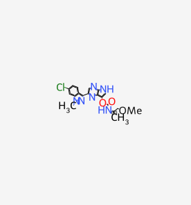 COC[C@@H](C)NC(=O)Oc1c[nH]c2ncc(-c3nn(C)c4cc(Cl)ccc34)nc12